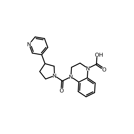 O=C(O)N1CCN(C(=O)N2CCC(c3cccnc3)C2)c2ccccc21